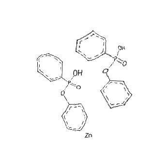 O=P(O)(Oc1ccccc1)c1ccccc1.O=P(O)(Oc1ccccc1)c1ccccc1.[Zn]